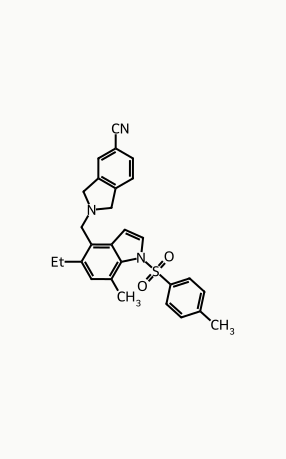 CCc1cc(C)c2c(ccn2S(=O)(=O)c2ccc(C)cc2)c1CN1Cc2ccc(C#N)cc2C1